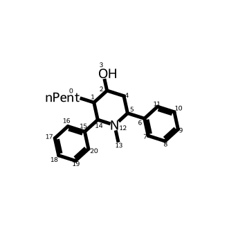 CCCCCC1C(O)CC(c2ccccc2)N(C)C1c1ccccc1